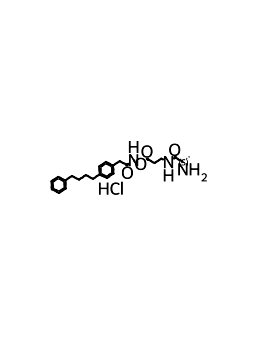 C[C@H](N)C(=O)NCCC(=O)ONC(=O)Cc1ccc(CCCCc2ccccc2)cc1.Cl